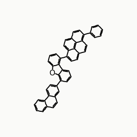 c1ccc(-c2ccc3ccc4c(-c5cccc6oc7c(-c8ccc9c(ccc%10ccccc%109)c8)cccc7c56)ccc5ccc2c3c54)cc1